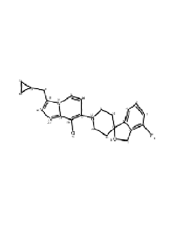 Fc1cccc2c1COC21CCN(c2ccn3c(CC4CC4)nnc3c2Cl)CC1